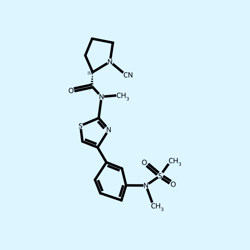 CN(C(=O)[C@@H]1CCCN1C#N)c1nc(-c2cccc(N(C)S(C)(=O)=O)c2)cs1